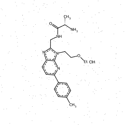 CCOCCn1c(CNC(=O)[C@H](C)N)nc2ccc(-c3ccc(C)cc3)nc21.Cl